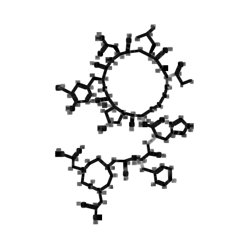 CCC(=O)[C@@H]1CSSC[C@H](NC(=O)[C@@H](CC(=O)[C@H](Cc2ccccc2)NC(=O)CN2CCN(CC(=O)O)CCN(CC(=O)O)CC2)Cc2c[nH]cn2)C(=O)N2C[C@H](O)C[C@H]2C(=O)C[C@@H](Cc2ccc(O)c(Cl)c2)C(=O)N[C@@H](CC(=O)O)C(=O)C[C@@H](CC(C)C)C(=O)N1